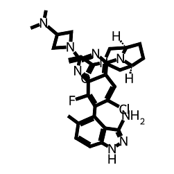 C=CC(=O)N1C[C@H]2CC[C@@H](C1)N2c1nc(N2CC(N(C)C)C2)nc2c(F)c(-c3c(C)ccc4[nH]nc(N)c34)c(Cl)cc12